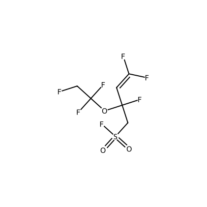 O=S(=O)(F)CC(F)(C=C(F)F)OC(F)(F)CF